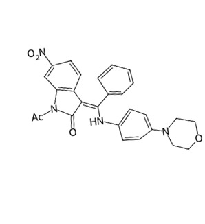 CC(=O)N1C(=O)/C(=C(\Nc2ccc(N3CCOCC3)cc2)c2ccccc2)c2ccc([N+](=O)[O-])cc21